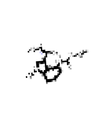 C/C(=N/O)c1cn(C)c2cccc(NC(=O)OC(C)(C)C)c12